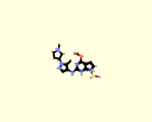 CCOc1nc(Nc2cnn(C3CCN(C)C3)c2C)nc2c1ccn2SI